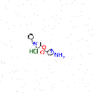 Cl.Nc1ccc(C(=O)OC2CCN(Cc3ccccc3)CC2)cn1